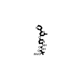 COC(C)(C)C(=O)NC(=O)Nc1ccc(Oc2cc(C)nc(-c3cccnc3)c2)cn1